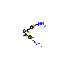 Cc1sc(-c2ccc(OCCCN)cc2)cc1C1=C(c2cc(-c3ccc(OCCCN)cc3)sc2C)CCC1